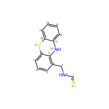 S=[C]NCc1cccc2c1Nc1ccccc1S2